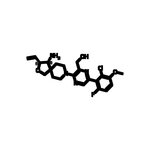 C=C[C@@H]1OCC2(CCN(c3ncc(-c4c(F)ccc(OC)c4Cl)nc3CO)CC2)[C@@H]1N